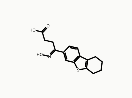 O=C(O)CCC(=NO)c1ccc2c3c(sc2c1)CCCC3